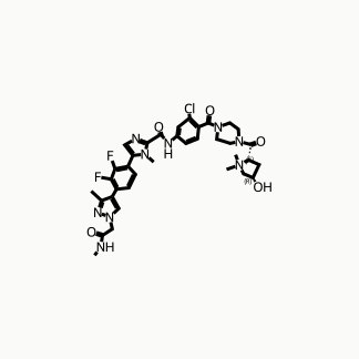 CNC(=O)Cn1cc(-c2ccc(-c3cnc(C(=O)Nc4ccc(C(=O)N5CCN(C(=O)[C@@H]6C[C@@H](O)C[N+]6(C)C)CC5)c(Cl)c4)n3C)c(F)c2F)c(C)n1